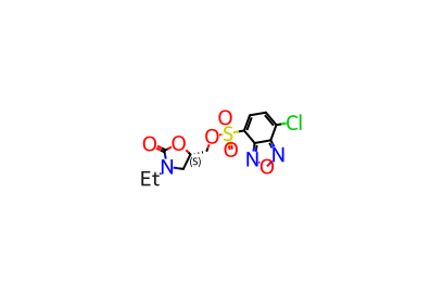 CCN1C[C@@H](COS(=O)(=O)c2ccc(Cl)c3nonc23)OC1=O